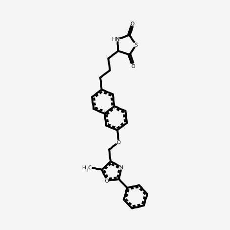 Cc1oc(-c2ccccc2)nc1COc1ccc2cc(CCCC3NC(=O)SC3=O)ccc2c1